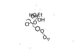 C/C=C\C(Cl)=C(\Cc1ccc(OCCOC2CC2)cc1)O[C@H](CO)[C@@H](O)[C@H](O)CC